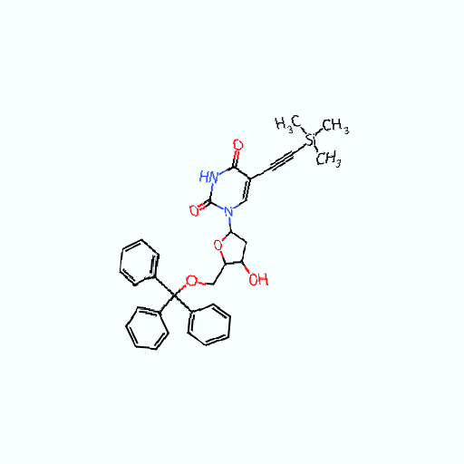 C[Si](C)(C)C#Cc1cn(C2CC(O)C(COC(c3ccccc3)(c3ccccc3)c3ccccc3)O2)c(=O)[nH]c1=O